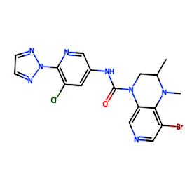 CC1CN(C(=O)Nc2cnc(-n3nccn3)c(Cl)c2)c2cncc(Br)c2N1C